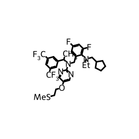 CCN(CC1CCCC1)c1c(F)cc(F)cc1CN(c1ncc(OCCSC)cn1)C(C)c1cc(C(F)(F)F)cc(C(F)(F)F)c1